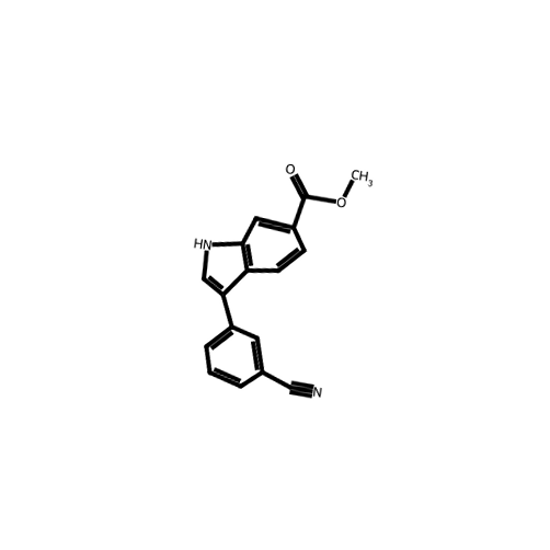 COC(=O)c1ccc2c(-c3cccc(C#N)c3)c[nH]c2c1